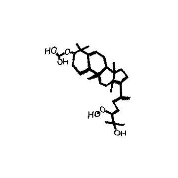 CC(CCC(OO)C(C)(C)O)C1CCC2(C)C3CC=C4C(CCC(OC(O)O)C4(C)C)C3(C)CCC12C